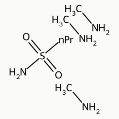 CCCS(N)(=O)=O.CN.CN.CN